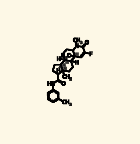 Cc1cccc(NC(=O)C2CC[C@H]3[C@@H]4CCC5N(C)C(=O)C(F)=C[C@]5(C)[C@@H]4CC[C@]23C)c1